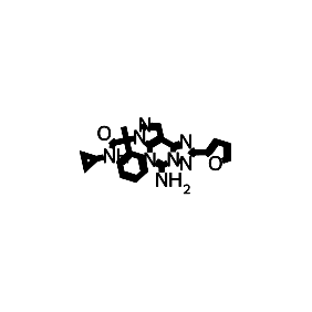 CC(C(=O)NC1CC1)(c1ccccc1)n1ncc2c1nc(N)n1nc(-c3ccco3)nc21